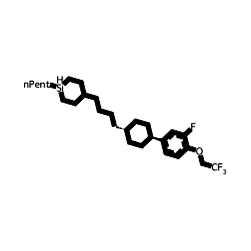 CCCCC[SiH]1CCC(CCCC[C@H]2CC[C@H](c3ccc(OCC(F)(F)F)c(F)c3)CC2)CC1